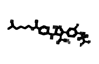 CC(=O)CCCCOC(=O)c1ccc(Nc2[nH]nc(-c3ccc(NS(=O)(=O)C(F)F)c(F)c3)c2C(N)=O)nc1